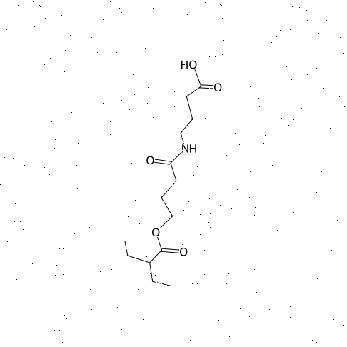 CCC(CC)C(=O)OCCCC(=O)NCCCC(=O)O